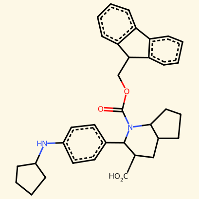 O=C(O)C1CC2CCCC2N(C(=O)OCC2c3ccccc3-c3ccccc32)C1c1ccc(NC2CCCC2)cc1